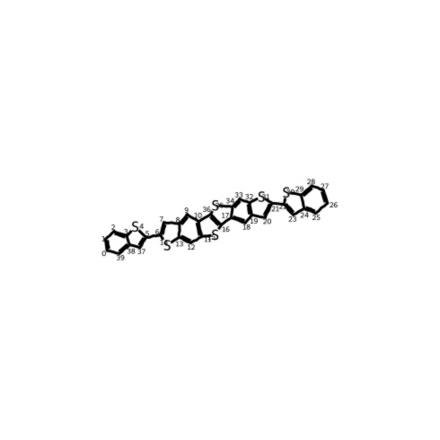 c1ccc2sc(-c3cc4cc5c(cc4s3)sc3c4cc6cc(-c7cc8ccccc8s7)sc6cc4sc53)cc2c1